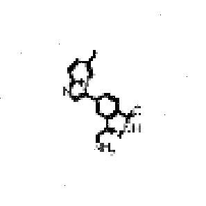 NCc1n[nH]c(=O)c2ccc(-c3cnc4ccc(F)cn34)cc12